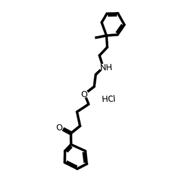 CC1(CCNCCOCCCC(=O)c2ccccc2)C=CC=CC1.Cl